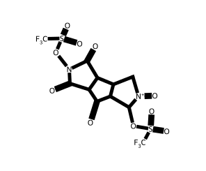 O=C1C2C(=O)N(OS(=O)(=O)C(F)(F)F)C(=O)C2C2C[N+](=O)C(OS(=O)(=O)C(F)(F)F)C12